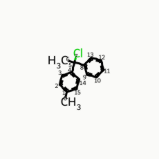 Cc1ccc(C(C)(Cl)c2ccccc2)cc1